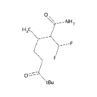 CC(CCC(=O)C(C)(C)C)C(C(N)=O)C(F)F